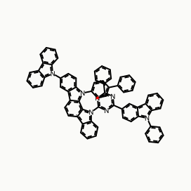 c1ccc(-c2ccc(-n3c4ccc(-n5c6ccccc6c6ccccc65)cc4c4ccc5c6ccccc6n(-c6nc(-c7ccccc7)nc(-c7ccc8c(c7)c7ccccc7n8-c7ccccc7)n6)c5c43)cc2)cc1